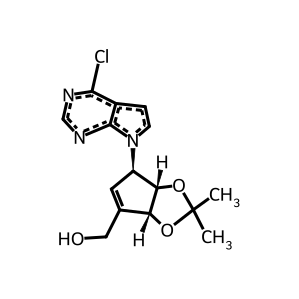 CC1(C)O[C@@H]2[C@H](O1)C(CO)=C[C@H]2n1ccc2c(Cl)ncnc21